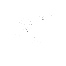 C=CC(=O)OC12CC3CC(O)(C1)CC(OC(=O)C=C)(C3)C2